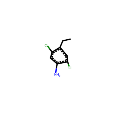 CCc1cc(Cl)c(N)cc1Cl